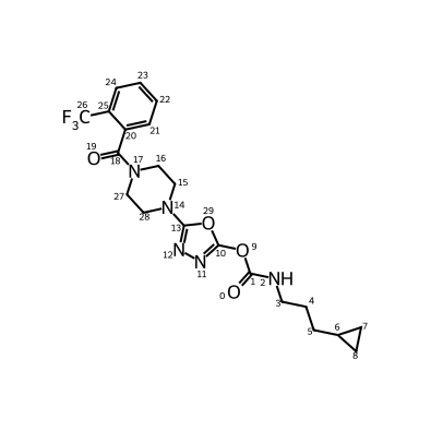 O=C(NCCCC1CC1)Oc1nnc(N2CCN(C(=O)c3ccccc3C(F)(F)F)CC2)o1